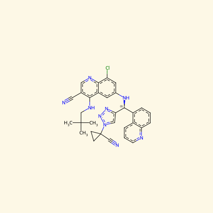 CC(C)(C)CNc1c(C#N)cnc2c(Cl)cc(N[C@H](c3cn(C4(C#N)CC4)nn3)c3cccc4ncccc34)cc12